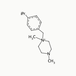 CC(C)c1ccc(C[N+]2(C)CCN(C)CC2)cc1